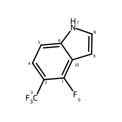 Fc1c(C(F)(F)F)ccc2[nH]ccc12